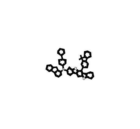 CC1(C)c2ccccc2-c2ccc(-c3c4oc5cc(N(c6ccc(-c7ccccc7)cc6)c6cccc7c6Cc6ccccc6-7)ccc5c4cc4oc5ccccc5c34)cc21